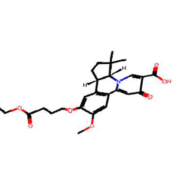 CCOC(=O)CCCOc1cc2c(cc1OC)-c1cc(=O)c(C(=O)O)cn1[C@@H]1[C@H]2CCC1(C)C